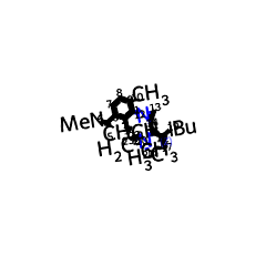 C=Cc1c(C(=C)NC)ccc(C)c1N1C=C1C(/C(=C\C)C(C)CC)N(C)C=C